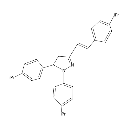 CC(C)c1ccc(C=CC2=NN(c3ccc(C(C)C)cc3)C(c3ccc(C(C)C)cc3)C2)cc1